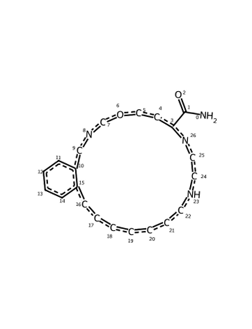 NC(=O)c1ccocncc2ccccc2ccccccc[nH]ccn1